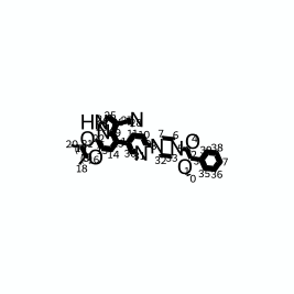 COC(C(=O)N1CCN(c2ccc(-c3cc(O[C@@H](C)[C@@H](C)O)cn4ncc(C#N)c34)cn2)CC1)c1ccccc1